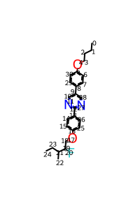 CCCCOc1ccc(-c2cnc(-c3ccc(OCC(F)C(C)CC)cc3)nc2)cc1